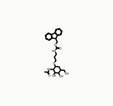 CC(=O)NC1C(OCCCNC(=O)OCC2c3ccccc3-c3ccccc32)CC(CO)C(O)C1O